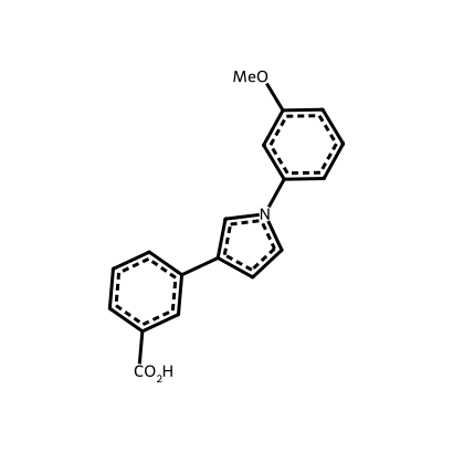 COc1cccc(-n2ccc(-c3cccc(C(=O)O)c3)c2)c1